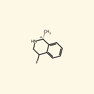 C[C@H]1NCC(F)c2ccccc21